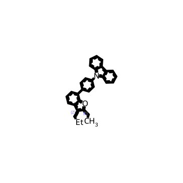 C/C=c1/oc2c(-c3ccc(-n4c5ccccc5c5ccccc54)cc3)cccc2/c1=C/CC